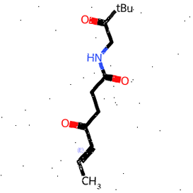 C/C=C/C(=O)CCC(=O)NCC(=O)C(C)(C)C